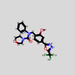 COc1cc(-c2nnc(C(F)(F)F)o2)ccc1CN(C(=O)N1CCOCC1)c1ccccc1